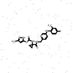 Nc1cc(OC(=O)NC2(C(=O)NCc3ccc(Nc4ccc(F)cc4C(F)(F)F)cn3)CC2)[nH]n1